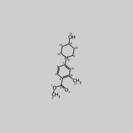 COC(=O)c1ccc(N2CCC(O)CC2)cc1C